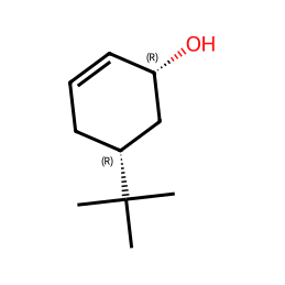 CC(C)(C)[C@@H]1CC=C[C@H](O)C1